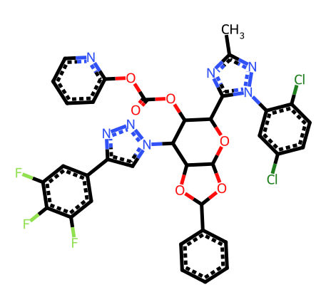 Cc1nc(C2OC3OC(c4ccccc4)OC3C(n3cc(-c4cc(F)c(F)c(F)c4)nn3)C2OC(=O)Oc2ccccn2)n(-c2cc(Cl)ccc2Cl)n1